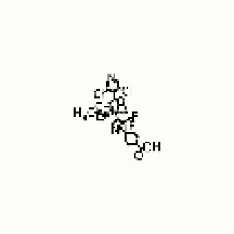 CC1(C)CC[C@H]1N(CC(=O)c1c(Cl)cncc1Cl)C(=O)c1cnn([C@H]2CC[C@@H](C(=O)O)CC2)c1C(F)(F)F